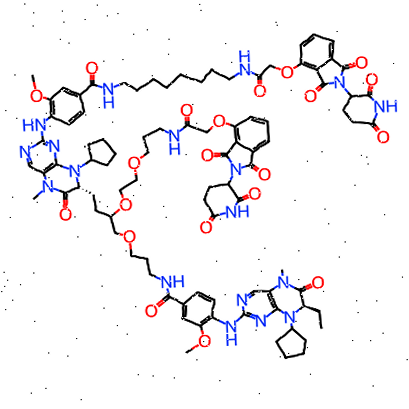 CC[C@@H]1C(=O)N(C)c2cnc(Nc3ccc(C(=O)NCCCOCC(CC[C@@H]4C(=O)N(C)c5cnc(Nc6ccc(C(=O)NCCCCCCCCNC(=O)COc7cccc8c7C(=O)N(C7CCC(=O)NC7=O)C8=O)cc6OC)nc5N4C4CCCC4)OCCOCCCNC(=O)COc4cccc5c4C(=O)N(C4CCC(=O)NC4=O)C5=O)cc3OC)nc2N1C1CCCC1